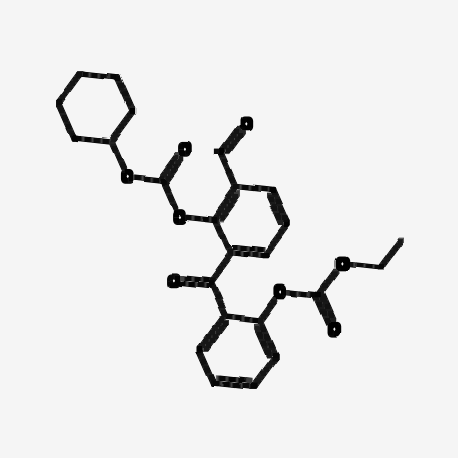 CCOC(=O)Oc1ccccc1C(=O)c1cccc([C]=O)c1OC(=O)OC1CCCCC1